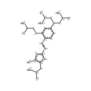 CCCCC(CC)COc1cc(N(CC(CC)CCCC)CC(CC)CCCC)ccc1N=Nc1nc(CC(CC)CCCC)c(C#N)s1